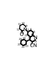 N#Cc1cnc2ccc(N3CCCCC3=O)cc2c1-c1ccccc1